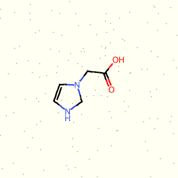 O=C(O)CN1C=CNC1